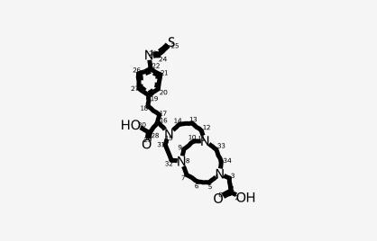 O=C(O)CN1CCCN2CCN(CCCN(C(CCc3ccc(N=C=S)cc3)C(=O)O)CC2)CC1